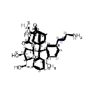 COc1cccc(C(c2ccccc2)(c2cc(/C=C/CN)ccc2OC)[C@]2(n3ccc(=O)[nH]c3=O)C[C@H](O)[C@@H](CO)O2)c1